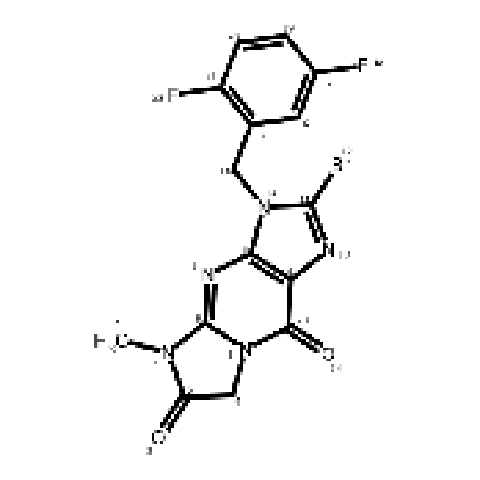 CN1C(=O)Cn2c1nc1c(nc(Br)n1Cc1cc(F)ccc1F)c2=O